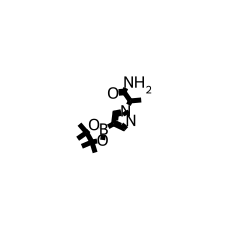 CC(C(N)=O)n1cc(B2OC(C)(C)C(C)(C)O2)cn1